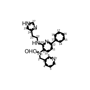 O=CN(Cc1cccnc1)c1ccc(-c2ccccc2)nc1NCCc1c[nH]cn1